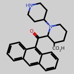 O=C(O)C1CCCN(C2CCNCC2)C1C(=O)c1c2ccccc2cc2ccccc12